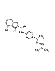 CC(=N)N/N=C(\C)c1ccc(NC(=O)c2cc3cccc(N)c3[nH]2)cc1